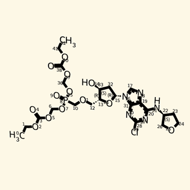 CCOC(=O)OCOP(=O)(COC[C@H]1O[C@@H](n2cnc3c(N[C@H]4CCOC4)nc(Cl)nc32)C[C@@H]1O)OCOC(=O)OCC